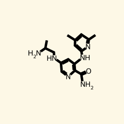 Cc1cc(C)nc(Nc2cc(NCC(C)N)cnc2C(N)=O)c1